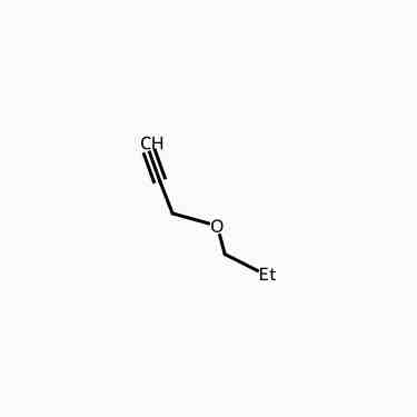 C#CCOCCC